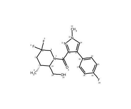 C[C@@H]1CC(F)(F)CN(C(=O)c2nn(C)cc2-c2ccc(F)cc2)C1CO